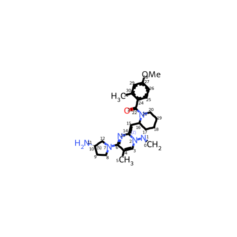 C=NN1C=C(C)C(N2CC[C@H](N)C2)=N/C1=C/C1CCCCN1C(=O)c1ccc(OC)cc1C